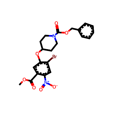 COC(=O)c1cc(OC2CCN(C(=O)OCc3ccccc3)CC2)c(Br)cc1[N+](=O)[O-]